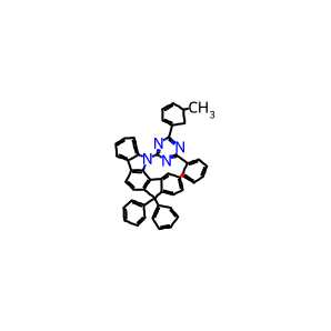 CC1C=CC=C(c2nc(-c3ccccc3)nc(-n3c4ccccc4c4ccc5c(c43)-c3ccccc3C5(c3ccccc3)c3ccccc3)n2)C1